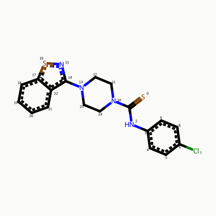 S=C(Nc1ccc(Cl)cc1)N1CCN(c2nsc3ccccc23)CC1